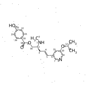 CN[C@@H](C/C=C/c1cncc(OC(C)C)c1)COC(=O)c1ccc(O)cc1